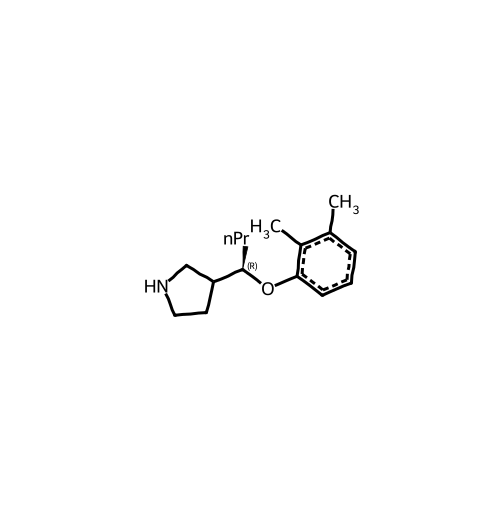 CCC[C@@H](Oc1cccc(C)c1C)C1CCNC1